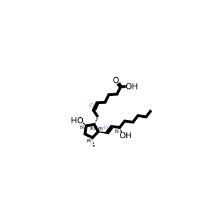 CCCCC[C@H](O)/C=C/[C@@H]1[C@@H](C/C=C\CCCC(=O)O)[C@@H](O)C[C@H]1C